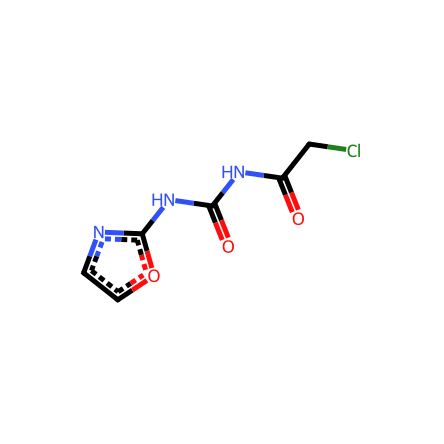 O=C(CCl)NC(=O)Nc1ncco1